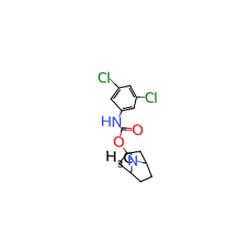 CN1C2CCC1CC(OC(=O)Nc1cc(Cl)cc(Cl)c1)C2